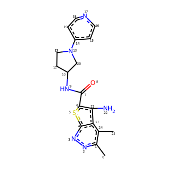 Cc1nnc2sc(C(=O)NC3CCN(c4ccncc4)C3)c(N)c2c1C